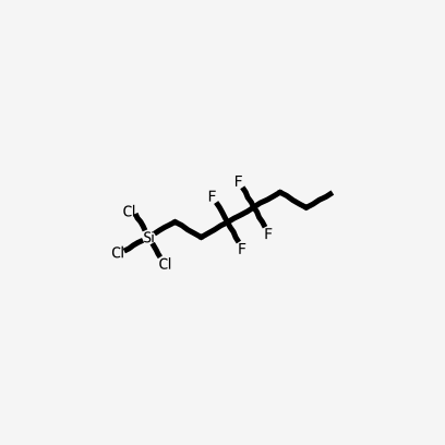 CCCC(F)(F)C(F)(F)CC[Si](Cl)(Cl)Cl